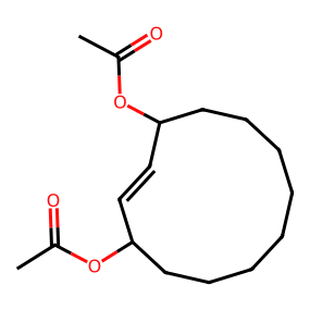 CC(=O)OC1/C=C/C(OC(C)=O)CCCCCCCC1